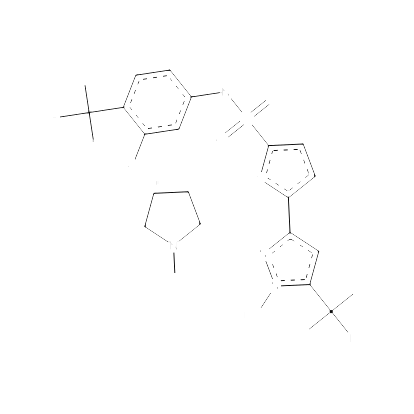 CN1CC[C@@H](Oc2cc(NS(=O)(=O)c3ccc(-c4cc(C(F)(F)F)n(C)n4)s3)ccc2C(F)(F)F)C1